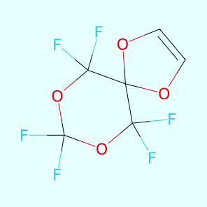 FC1(F)OC(F)(F)C2(OC=CO2)C(F)(F)O1